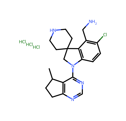 CC1CCc2ncnc(N3CC4(CCNCC4)c4c3ccc(Cl)c4CN)c21.Cl.Cl.Cl